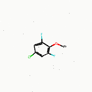 CC(C)Oc1c(F)cc(Cl)cc1F